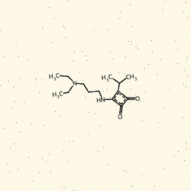 CCN(CC)CCCNc1c(C(C)C)c(=O)c1=O